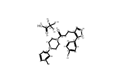 Cc1cccc(N2CCN(C(=O)CCc3cnoc3-c3ccc(F)cc3)CC2)c1.O=C(O)C(F)(F)F